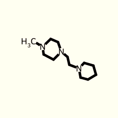 CN1CCN(CCN2CCCCC2)CC1